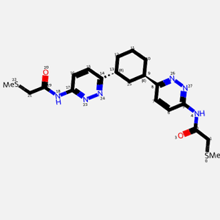 CSCC(=O)Nc1ccc([C@@H]2CCC[C@@H](c3ccc(NC(=O)CSC)nn3)C2)nn1